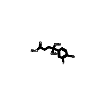 COC(=O)CCC(OC)(OC)c1ccc(Br)c(F)c1